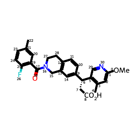 COc1cc(C)c([C@H](CC(=O)O)c2ccc3c(c2)CN(C(=O)c2cc(C)ccc2F)CC3)cn1